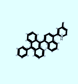 CC1=CCNC(c2ccc(-c3c4ccccc4c(-c4ccccc4)c4ccccc34)c3ccccc23)=C1